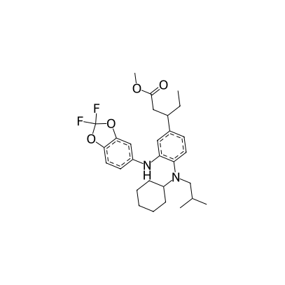 CCC(CC(=O)OC)c1ccc(N(CC(C)C)C2CCCCC2)c(Nc2ccc3c(c2)OC(F)(F)O3)c1